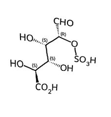 O=C[C@H](OS(=O)(=O)O)[C@@H](O)[C@H](O)[C@H](O)C(=O)O